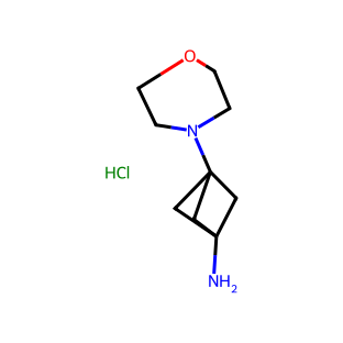 Cl.NC12CC(N3CCOCC3)(C1)C2